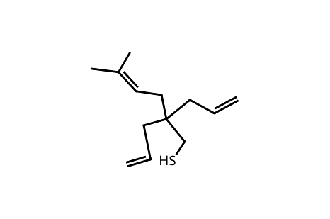 C=CCC(CS)(CC=C)CC=C(C)C